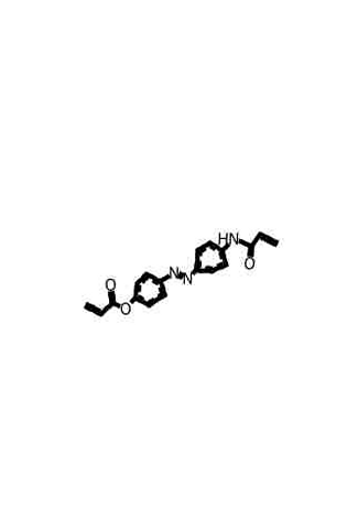 C=CC(=O)Nc1ccc(N=Nc2ccc(OC(=O)C=C)cc2)cc1